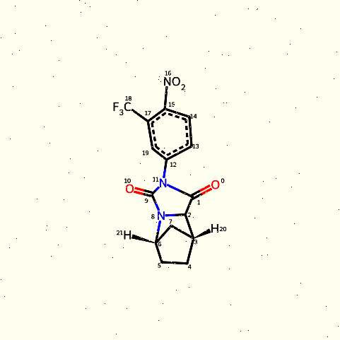 O=C1C2[C@@H]3CC[C@@H](C3)N2C(=O)N1c1ccc([N+](=O)[O-])c(C(F)(F)F)c1